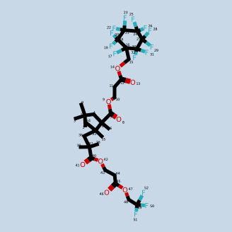 CC(C)(C)CC(C)(C(=O)OCCC(=O)OCC1(F)C(F)(F)C(F)(F)C(F)(F)C(F)(F)C1(F)F)C(C)(C)CC(C)(C)C(=O)OCCC(=O)OCC(F)(F)F